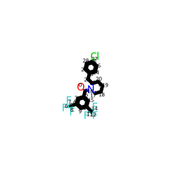 O=C(c1cc(C(F)(F)F)cc(C(F)(F)F)c1)N1CC[CH]CC1Cc1ccc(Cl)cc1